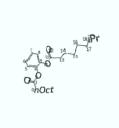 CCCCCCCCC(=O)Oc1ccccc1OC(=O)CCCCCC(C)C